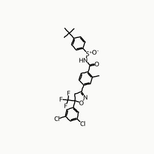 Cc1cc(C2=NOC(c3cc(Cl)cc(Cl)c3)(C(F)(F)F)C2)ccc1C(=O)N[S+]([O-])c1ccc(C(C)(C)C)cc1